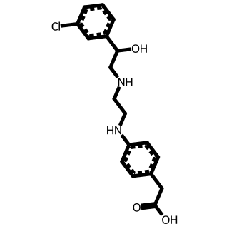 O=C(O)Cc1ccc(NCCNCC(O)c2cccc(Cl)c2)cc1